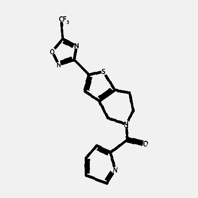 O=C(c1ccccn1)N1CCc2sc(-c3noc(C(F)(F)F)n3)cc2C1